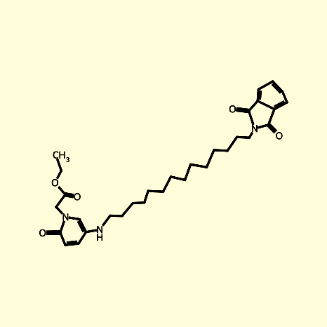 CCOC(=O)Cn1cc(NCCCCCCCCCCCCCCN2C(=O)c3ccccc3C2=O)ccc1=O